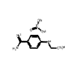 N=C(N)c1ccc(NCC(=O)O)cc1.O=[PH](O)O